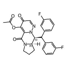 CC(=O)Oc1c2n(ncc1=O)[C@@H](C(c1cccc(F)c1)c1cccc(F)c1)[C@H]1CCCN1C2=O